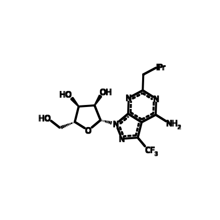 CC(C)Cc1nc(N)c2c(C(F)(F)F)nn([C@@H]3O[C@H](CO)[C@@H](O)[C@H]3O)c2n1